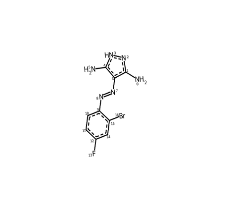 Nc1n[nH]c(N)c1N=Nc1ccc(F)cc1Br